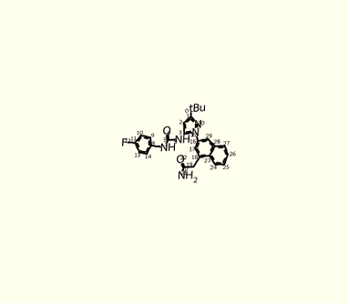 CC(C)(C)c1cc(NC(=O)Nc2ccc(F)cc2)n(-c2cc(CC(N)=O)c3ccccc3c2)n1